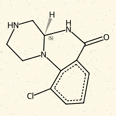 O=C1N[C@@H]2CNCCN2c2c(Cl)cccc21